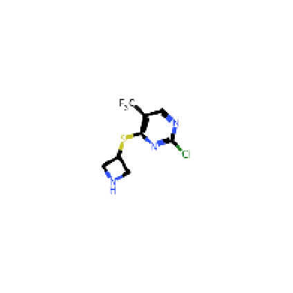 FC(F)(F)c1cnc(Cl)nc1SC1CNC1